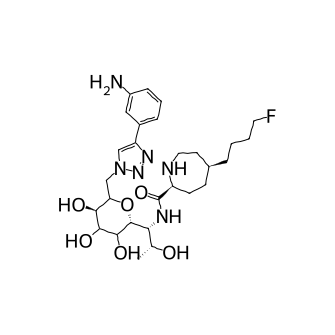 C[C@@H](O)[C@@H](NC(=O)[C@@H]1CC[C@H](CCCCF)CCN1)[C@H]1OC(Cn2cc(-c3cccc(N)c3)nn2)[C@H](O)C(O)C1O